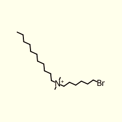 CCCCCCCCCCC[N+](C)(C)CCCCCCBr